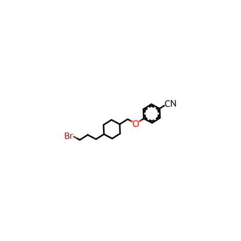 N#Cc1ccc(OCC2CCC(CCCBr)CC2)cc1